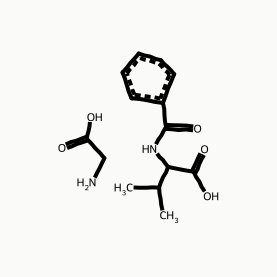 CC(C)C(NC(=O)c1ccccc1)C(=O)O.NCC(=O)O